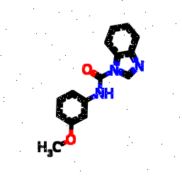 COc1cccc(NC(=O)n2cnc3ccccc32)c1